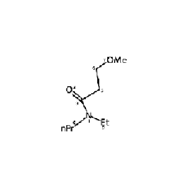 CCCN(CC)C(=O)CCOC